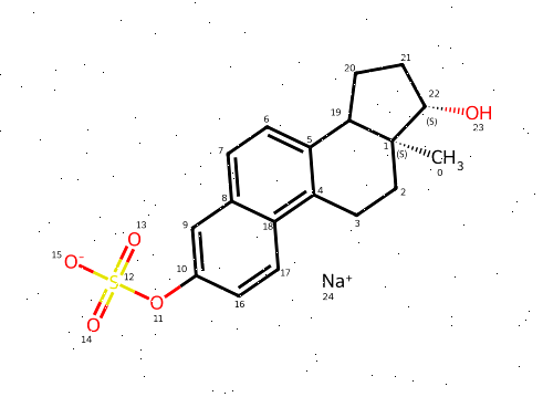 C[C@]12CCc3c(ccc4cc(OS(=O)(=O)[O-])ccc34)C1CC[C@@H]2O.[Na+]